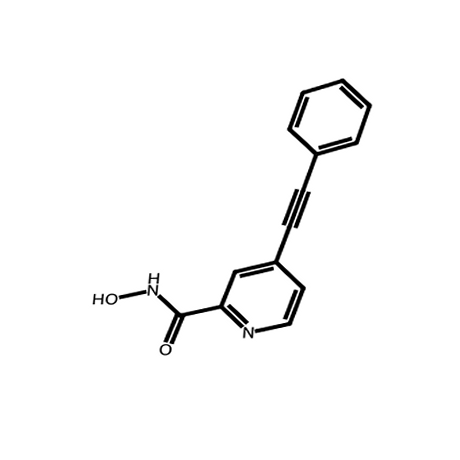 O=C(NO)c1cc(C#Cc2ccccc2)ccn1